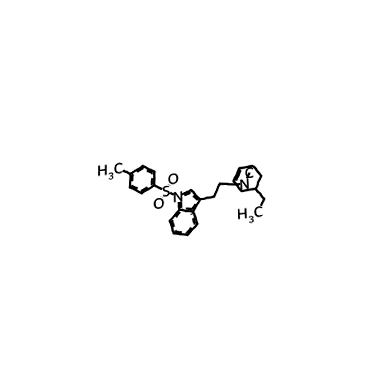 CCC1CC2C=CC1N(CCc1cn(S(=O)(=O)c3ccc(C)cc3)c3ccccc13)C2